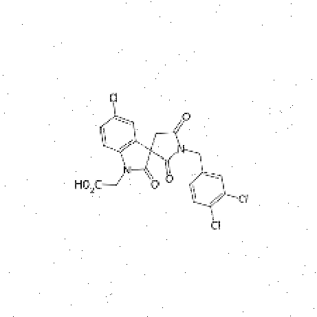 O=C(O)CN1C(=O)C2(CC(=O)N(Cc3ccc(Cl)c(Cl)c3)C2=O)c2cc(Cl)ccc21